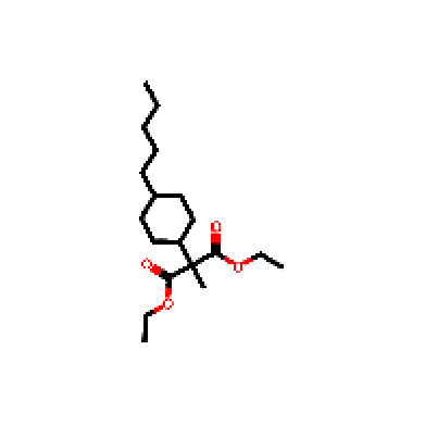 CCCCCC1CCC(C(C)(C(=O)OCC)C(=O)OCC)CC1